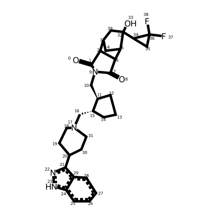 O=C1C2C3CC(C2C(=O)N1C[C@H]1CCC[C@@H]1CN1CCC(c2n[nH]c4ccccc24)CC1)C(O)(C1CC1(F)F)C3